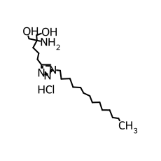 CCCCCCCCCCCCCCn1cc(CCCC(N)(CO)CO)nn1.Cl